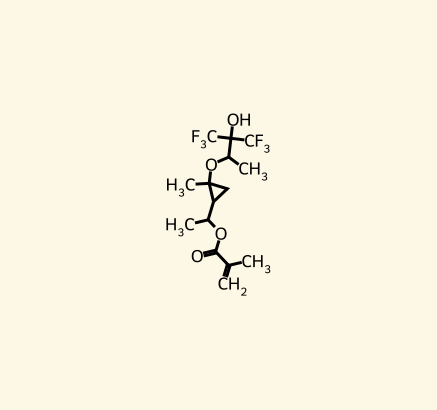 C=C(C)C(=O)OC(C)C1CC1(C)OC(C)C(O)(C(F)(F)F)C(F)(F)F